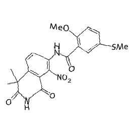 COc1ccc(SC)cc1C(=O)Nc1ccc2c(c1[N+](=O)[O-])C(=O)NC(=O)C2(C)C